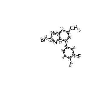 Cc1cc(-c2ccc(F)c(F)c2)c2nc(Br)nn2c1